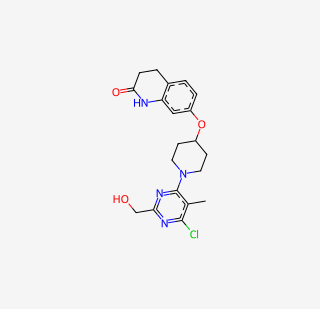 Cc1c(Cl)nc(CO)nc1N1CCC(Oc2ccc3c(c2)NC(=O)CC3)CC1